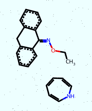 C1=CC=CNC=C1.CCON=C1c2ccccc2Cc2ccccc21